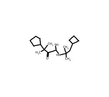 CC(C)(CC1CCC1)NC(S)C(=O)C(C)(C)C1CCCC1